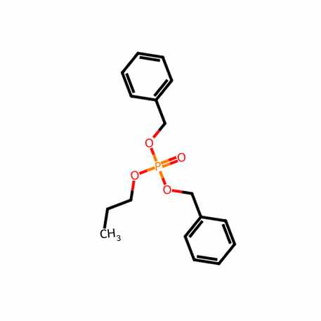 CCCOP(=O)(OCc1ccccc1)OCc1ccccc1